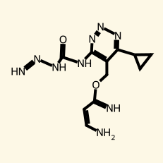 N=NNC(=O)Nc1nnnc(C2CC2)c1COC(=N)/C=C\N